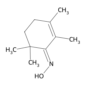 CC1=C(C)C(=NO)C(C)(C)CC1